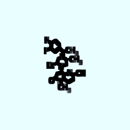 CC[C@H]1CN(C(C)c2ccc(F)c(F)c2)[C@H](C)CN1c1cc(=O)n(C)c2ccc(C#N)nc12